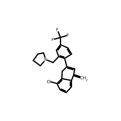 C=C1C=C(c2ccc(C(F)(F)F)cc2CN2CCCC2)Cc2c(Cl)cccc21